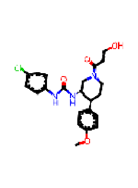 COc1ccc([C@@H]2CCN(C(=O)CCO)C[C@H]2NC(=O)Nc2ccc(Cl)cc2)cc1